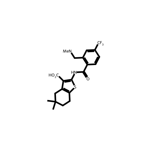 CNCc1cc(C(F)(F)F)ccc1C(=O)Nc1sc2c(c1C(=O)O)CC(C)(C)CC2